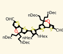 CCCCCCCCCCCCC1(CCCCCCCCCCCC)Oc2cc(C=O)sc2-c2sc(-c3sc(-c4cc5c(s4)-c4sc(C=O)cc4OC5(CCCCCCCCCCCC)CCCCCCCCCCCC)c(CCCCCC)c3CCCCCC)cc21